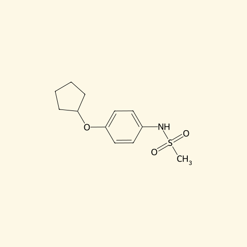 CS(=O)(=O)Nc1ccc(OC2CCCC2)cc1